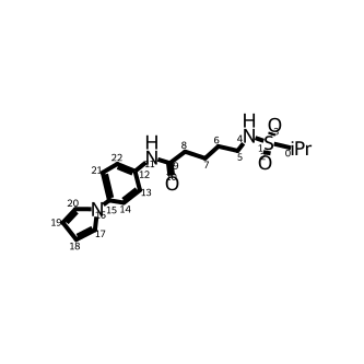 CC(C)S(=O)(=O)NCCCCC(=O)Nc1ccc(-n2cccc2)cc1